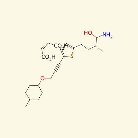 CC1CCC(OCC#Cc2ccc(CC[C@@H](C)C(N)O)s2)CC1.O=C(O)/C=C\C(=O)O